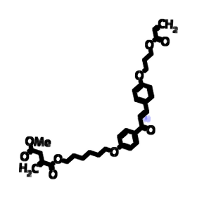 C=CC(=O)OCCCOc1ccc(/C=C/C(=O)c2ccc(OCCCCCCOC(=O)C(=C)CC(=O)OC)cc2)cc1